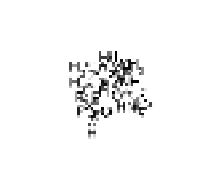 C[C@@H]1[C@@H](NC(=O)C2CCSN2)C[C@H]2C[C@@H]1C2(C)C.O=C(O)C(F)(F)F